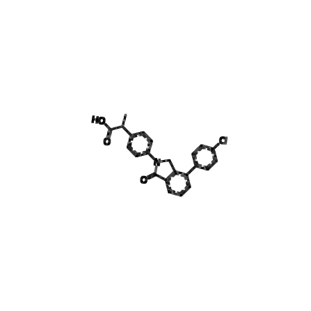 CC(C(=O)O)c1ccc(N2Cc3c(cccc3-c3ccc(Cl)cc3)C2=O)cc1